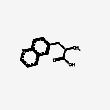 CN(Cc1ccc2ncccc2c1)C(=O)O